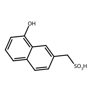 O=S(=O)(O)Cc1ccc2cccc(O)c2c1